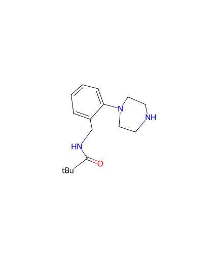 CC(C)(C)C(=O)NCc1ccccc1N1CCNCC1